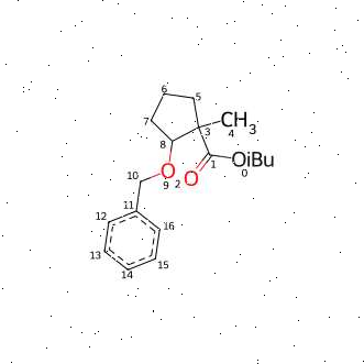 CC(C)COC(=O)C1(C)CCCC1OCc1ccccc1